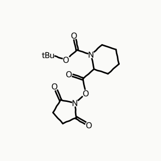 CC(C)(C)OC(=O)N1CCCCC1C(=O)ON1C(=O)CCC1=O